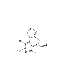 C=C(C)C1=C(/C=C\C)Oc2ccccc2/C1=C(\C#N)C(N)=O